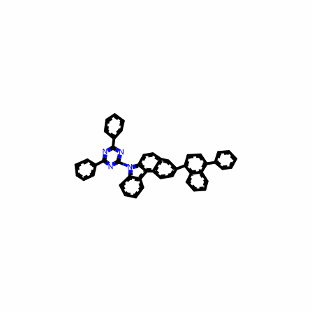 c1ccc(-c2nc(-c3ccccc3)nc(-n3c4ccccc4c4c5ccc(-c6ccc(-c7ccccc7)c7ccccc67)cc5ccc43)n2)cc1